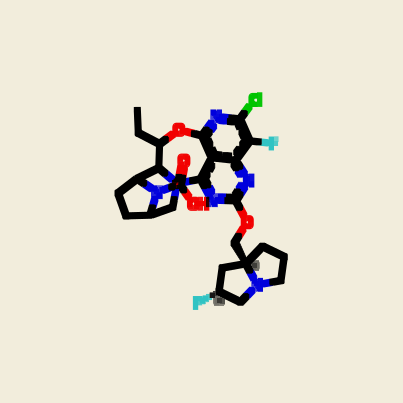 CCC1Oc2nc(Cl)c(F)c3nc(OC[C@@]45CCCN4C[C@H](F)C5)nc(c23)N2CC3CCC(C12)N3C(=O)O